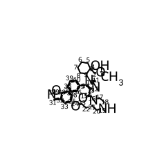 COC[C@]1(O)CCCC[C@H]1n1cnc(C(=O)N2CCNC[C@H]2CCOc2ccc3oncc3c2)c1-c1ccccc1